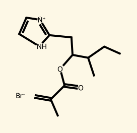 C=C(C)C(=O)OC(CC1=[N+]C=CN1)C(C)CC.[Br-]